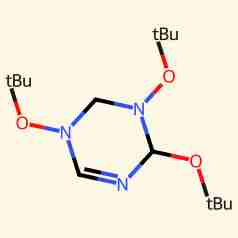 CC(C)(C)OC1N=CN(OC(C)(C)C)CN1OC(C)(C)C